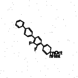 CCCCCCCCC1(CCCCCC)C=CC(c2ccc(-c3ccc(-c4ccccc4)cc3)c(F)c2F)=CC1